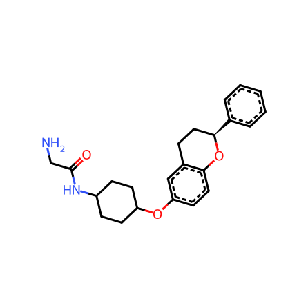 NCC(=O)NC1CCC(Oc2ccc3c(c2)CC[C@@H](c2ccccc2)O3)CC1